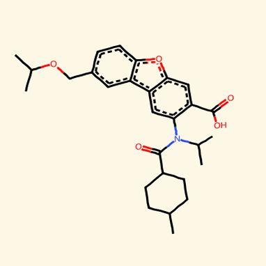 CC1CCC(C(=O)N(c2cc3c(cc2C(=O)O)oc2ccc(COC(C)C)cc23)C(C)C)CC1